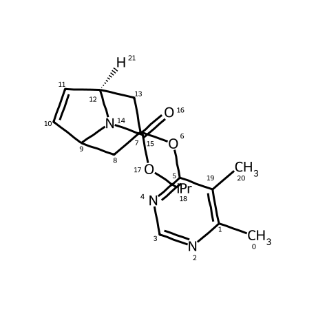 Cc1ncnc(OC2CC3C=C[C@@H](C2)N3C(=O)OC(C)C)c1C